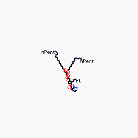 CC/C=C\CC1C(CC(=O)OCC(COCCCCCCCC/C=C\C/C=C\CCCCC)OCCCCCCCC/C=C\C/C=C\CCCCC)CCC1OC(=O)C1(C)CCCN(C)C1